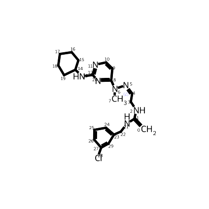 C=C(NC/C=N\N(C)c1ccnc(NC2CCCCC2)n1)NCc1cccc(Cl)c1